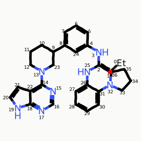 CC/C=C(\Nc1cccc(C2CCCN(c3ncnc4[nH]ccc34)C2)c1)Nc1ccccc1N1CCCC1